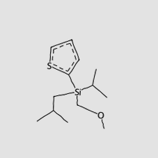 COC[Si](CC(C)C)(c1cccs1)C(C)C